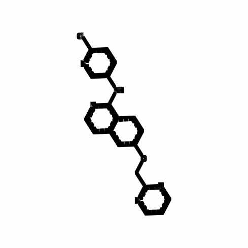 Clc1ccc(Nc2nccc3cc(OCc4ncccn4)ccc23)cn1